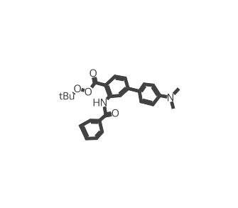 CN(C)c1ccc(-c2ccc(C(=O)OOC(C)(C)C)c(NC(=O)c3ccccc3)c2)cc1